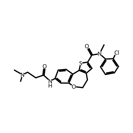 CN(C)CCC(=O)Nc1ccc2c(c1)OCCc1cc(C(=O)N(C)c3ccccc3Cl)sc1-2